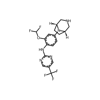 FC(F)Oc1cc(N2[C@@H]3CC[C@H]2CNC3)ccc1Nc1ncc(C(F)(F)F)cn1